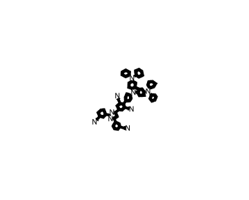 N#Cc1cccc(-c2cc(-c3cc(C#N)c(-c4ccc(-n5c6ccc(N(c7ccccc7)c7ccccc7)cc6c6cc(N(c7ccccc7)c7ccccc7)ccc65)cc4)c(C#N)c3)nc(-c3cccc(C#N)c3)n2)c1